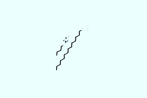 CCCCCCCCCCCCCCN.CCCCOS(=O)(=O)O